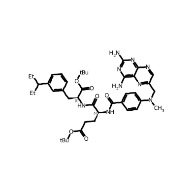 CCC(CC)c1cccc(C[C@H](NC(=O)[C@H](CCC(=O)OC(C)(C)C)NC(=O)c2ccc(N(C)Cc3cnc4nc(N)nc(N)c4n3)cc2)C(=O)OC(C)(C)C)c1